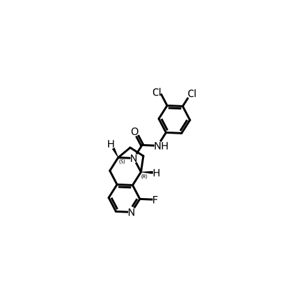 O=C(Nc1ccc(Cl)c(Cl)c1)N1[C@H]2CC[C@@H]1c1c(ccnc1F)C2